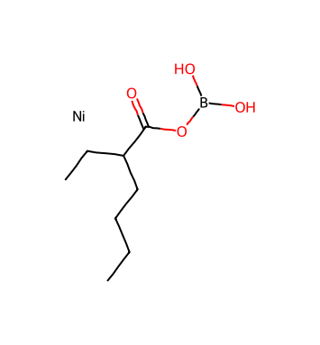 CCCCC(CC)C(=O)OB(O)O.[Ni]